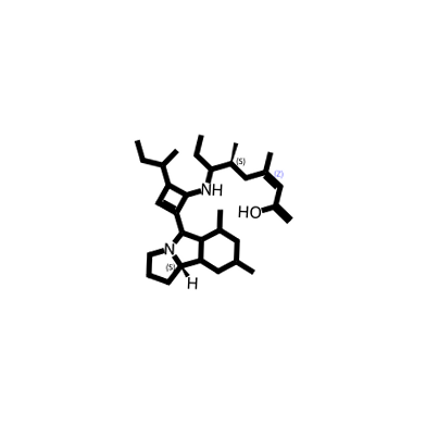 C=C(O)/C=C(/C)C[C@H](C)C(CC)NC1C(C2C3C(C)CC(C)CC3[C@@H]3CCCN23)=CC1C(C)CC